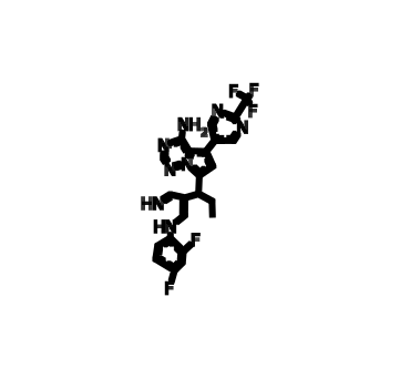 CCC(/C(C=N)=C/Nc1ccc(F)cc1F)c1cc(-c2cnc(C(F)(F)F)nc2)c2c(N)ncnn12